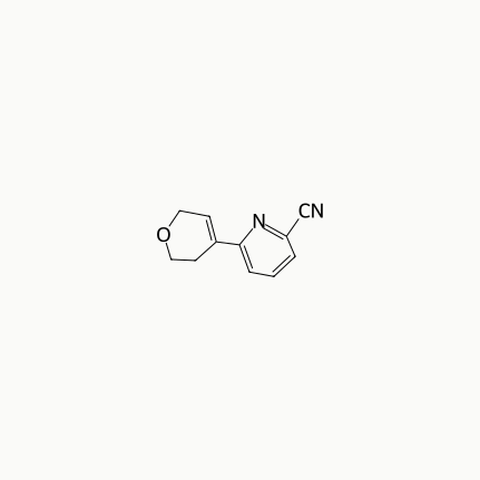 N#Cc1cccc(C2=CCOCC2)n1